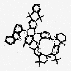 Cc1cc2c3c(c1)N(c1cccc4c1sc1ccccc14)c1cc4c(cc1B3c1ccc3cc1N2c1cc2c(cc1C)C(C)(C)CCC2(C)c1cc2c(cc1C(C)(C)C)C1(C)CCCCC1(C)N32)C(C)(C)c1ccccc1C4(C)C